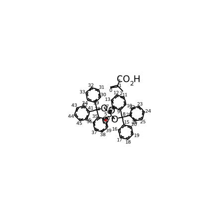 C=C(C)C(=O)O.O=S(=O)(OC(c1ccccc1)(c1ccccc1)c1ccccc1)OC(c1ccccc1)(c1ccccc1)c1ccccc1